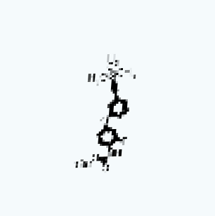 CC(C)(C)OC(=O)Nc1ccc(Oc2cccc(C#C[Si](C)(C)C)c2)cc1F